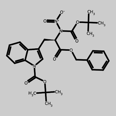 CC(C)(C)OC(=O)N([C@H](Cc1cn(C(=O)OC(C)(C)C)c2ccccc12)C(=O)OCc1ccccc1)[N+](=O)[O-]